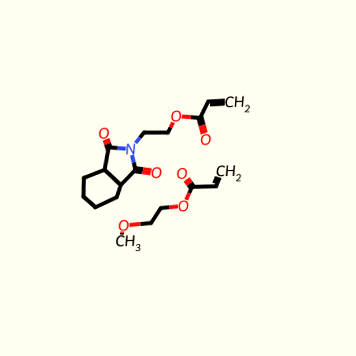 C=CC(=O)OCCN1C(=O)C2CCCCC2C1=O.C=CC(=O)OCCOC